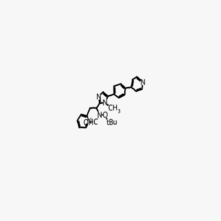 Cn1c(-c2ccc(-c3ccncc3)cc2)cnc1C(Cc1ccccn1)N(C=O)OC(C)(C)C